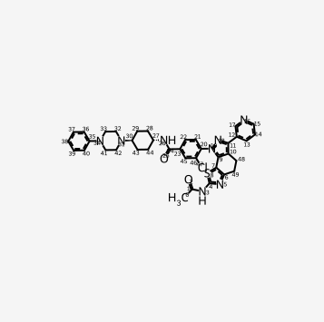 CC(=O)Nc1nc2c(s1)-c1c(c(-c3cccnc3)nn1-c1ccc(C(=O)N[C@H]3CC[C@H](N4CCN(c5ccccc5)CC4)CC3)cc1Cl)CC2